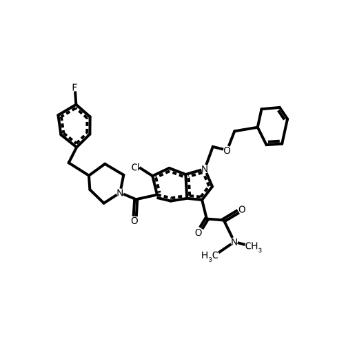 CN(C)C(=O)C(=O)c1cn(COCC2C=CC=CC2)c2cc(Cl)c(C(=O)N3CCC(Cc4ccc(F)cc4)CC3)cc12